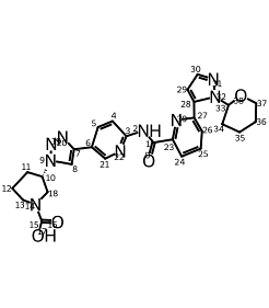 O=C(Nc1ccc(-c2cn([C@H]3CCCN(C(=O)O)C3)nn2)cn1)c1cccc(-c2ccnn2C2CCCCO2)n1